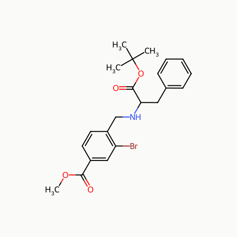 COC(=O)c1ccc(CNC(Cc2ccccc2)C(=O)OC(C)(C)C)c(Br)c1